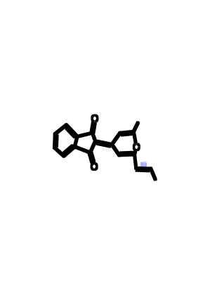 C/C=C/C1=CC(=C2C(=O)c3ccccc3C2=O)C=C(C)O1